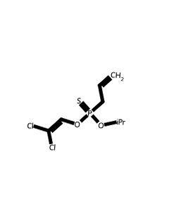 C=CCP(=S)(OC=C(Cl)Cl)OC(C)C